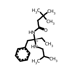 CC[C@](Cc1ccccc1)(NCC(C)C)NC(=O)CC(C)(C)C